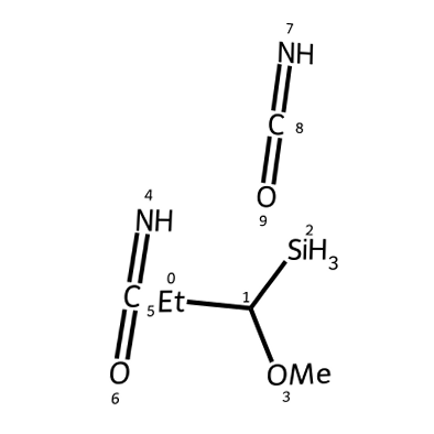 CCC([SiH3])OC.N=C=O.N=C=O